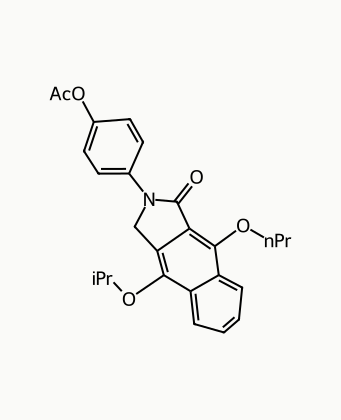 CCCOc1c2c(c(OC(C)C)c3ccccc13)CN(c1ccc(OC(C)=O)cc1)C2=O